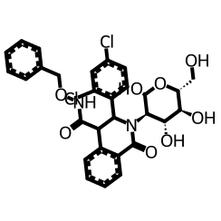 O=C(NOCc1ccccc1)C1c2ccccc2C(=O)N([C@H]2C(O)O[C@H](CO)[C@@H](O)[C@@H]2O)C1c1ccc(Cl)cc1Cl